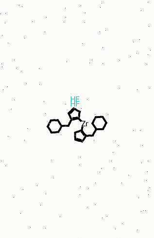 C1=CC(CC2CCCCC2)=[C]([Zr][C]2=C(CC3CCCCC3)C=CC2)C1.F.F